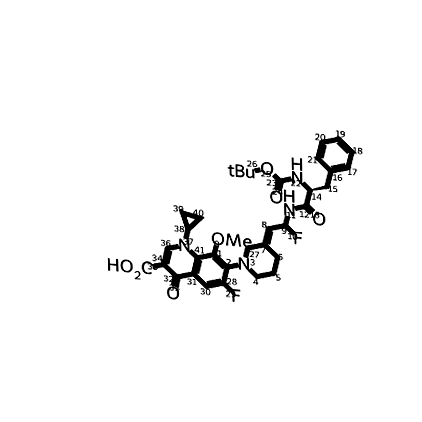 COc1c(N2CCCC(=CC(F)NC(=O)[C@H](Cc3ccccc3)NC(=O)OC(C)(C)C)C2)c(F)cc2c(=O)c(C(=O)O)cn(C3CC3)c12